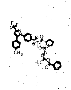 Cc1ccc(-c2cc(C(F)(F)F)nn2-c2ccc(S(=O)(=O)NC(=O)[C@@H]3CCCN3/[N+]([O-])=N/OC(C)OC(=O)c3ccccc3)cc2)cc1